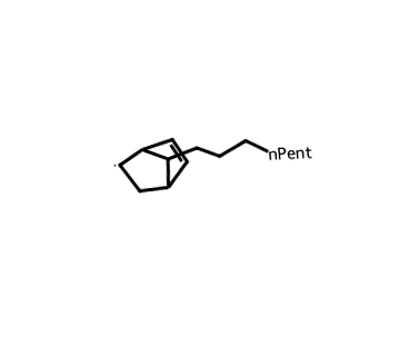 CCCCCCCCC1C2[CH]CC1C=C2